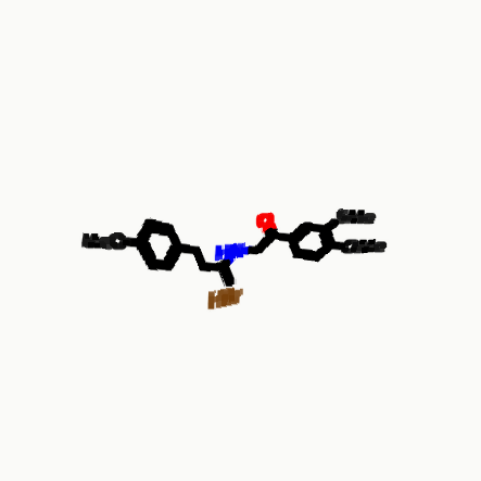 Br.COc1ccc(CCC(C)NCC(=O)c2ccc(OC)c(SC)c2)cc1